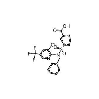 O=C(O)c1cccc(S(=O)(=O)N(Cc2ccccc2)c2ncc(C(F)(F)F)cc2Cl)c1